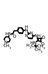 CN1CCC(NC(=O)Cc2ccc(Nc3nccc(Nc4c(NC(C)(C)C)c(=O)c4=O)n3)cc2)CC1